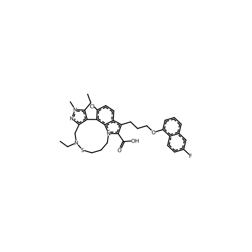 CCc1c2c(nn1C)CN(CC)SCCCn1c(C(=O)O)c(CCCOc3cccc4cc(F)ccc34)c3ccc(Cl)c-2c31